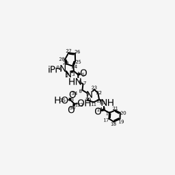 CC(C)n1nc(C(=O)NCCN2CCC(NC(=O)c3ccccc3)CC2)c2ccccc21.O=C(O)C(=O)O